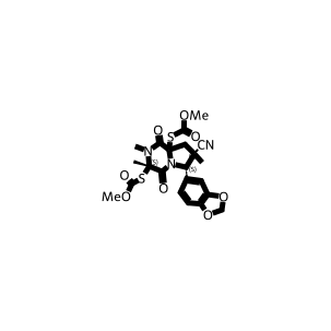 COC(=O)SC12C[C@](C)(C#N)[C@H](c3ccc4c(c3)OCO4)N1C(=O)[C@](C)(SC(=O)OC)N(C)C2=O